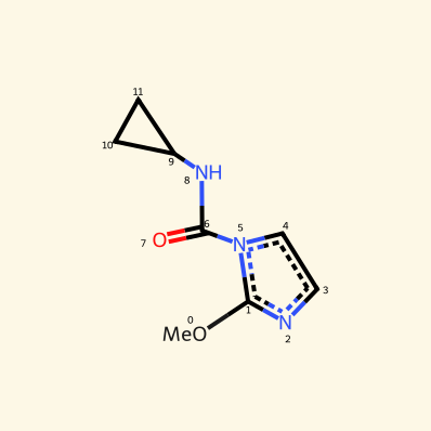 COc1nccn1C(=O)NC1CC1